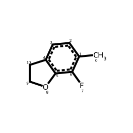 Cc1ccc2c(c1F)OCC2